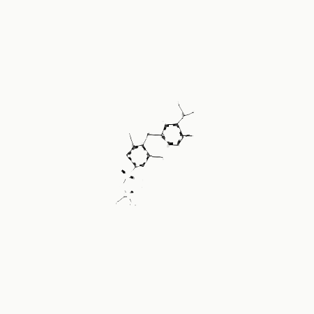 Cc1cc(S(=O)(=O)OP(C)(=O)O)cc(C)c1Cc1ccc(O)c(C(C)C)c1